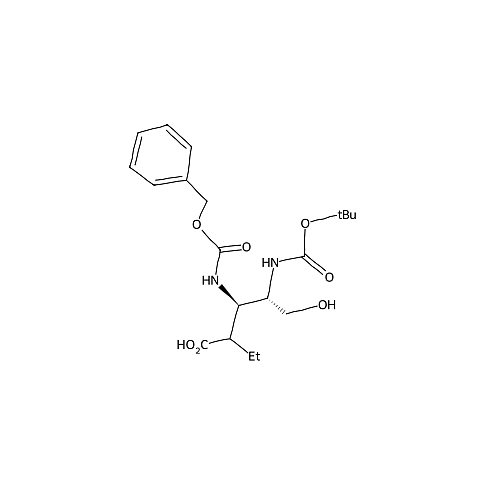 CCC(C(=O)O)[C@@H](NC(=O)OCc1ccccc1)[C@@H](CO)NC(=O)OC(C)(C)C